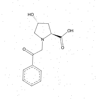 O=C(CN1C[C@H](O)C[C@H]1C(=O)O)c1ccccc1